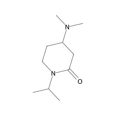 CC(C)N1CCC(N(C)C)CC1=O